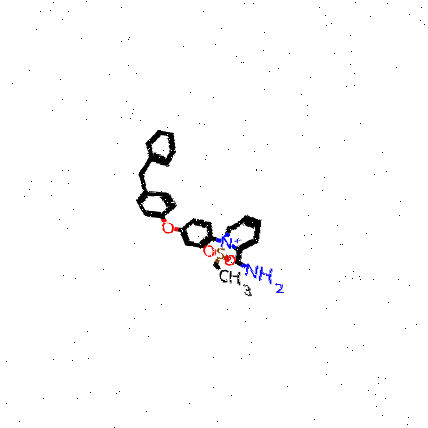 CCS(=O)(=O)[N+]1(c2ccc(Oc3ccc(Cc4ccccc4)cc3)cc2)CC=CC=C1CN